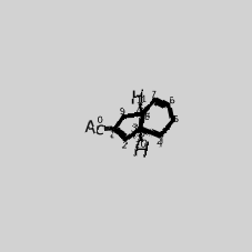 CC(=O)C1=C[C@H]2CCC=C[C@H]2C1